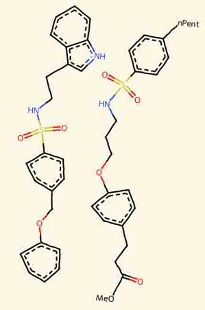 CCCCCc1ccc(S(=O)(=O)NCCCOc2ccc(CCC(=O)OC)cc2)cc1.O=S(=O)(NCCc1c[nH]c2ccccc12)c1ccc(COc2ccccc2)cc1